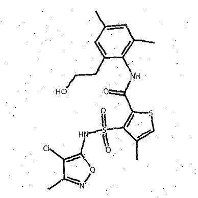 Cc1cc(C)c(NC(=O)c2scc(C)c2S(=O)(=O)Nc2onc(C)c2Cl)c(CCO)c1